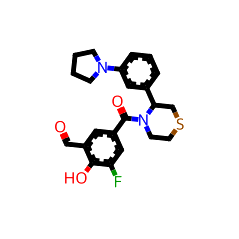 O=Cc1cc(C(=O)N2CCSCC2c2cccc(N3CCCC3)c2)cc(F)c1O